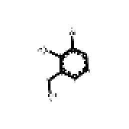 O=[N+]([O-])c1c(O)cccc1[CH]O